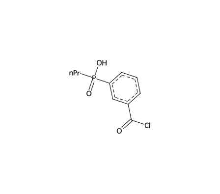 CCCP(=O)(O)c1cccc(C(=O)Cl)c1